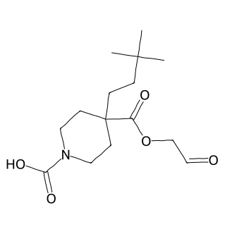 CC(C)(C)CCC1(C(=O)OCC=O)CCN(C(=O)O)CC1